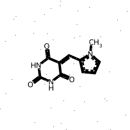 Cn1cccc1C=C1C(=O)NC(=O)NC1=O